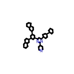 c1ccc(-c2ccc(-c3cc(-c4cc(-c5ccc6ccccc6c5)cc(-c5ccc6ccccc6c5)c4)nc(-c4ccncc4)n3)cc2)cc1